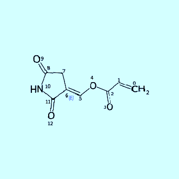 C=CC(=O)O/C=C1\CC(=O)NC1=O